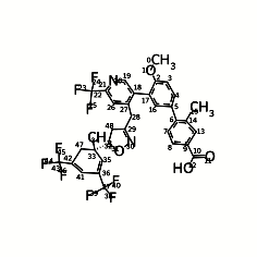 COc1ccc(-c2ccc(C(=O)O)cc2C)cc1-c1cnc(C(F)(F)F)cc1CC1=NO[C@H](C2(C)C=C(C(F)(F)F)C=C(C(F)(F)F)C2)C1